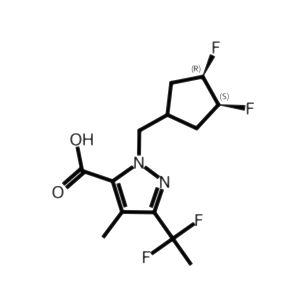 Cc1c(C(C)(F)F)nn(CC2C[C@@H](F)[C@@H](F)C2)c1C(=O)O